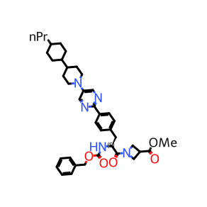 CCCC1CCC(C2CCN(c3cnc(-c4ccc(C[C@H](NC(=O)OCc5ccccc5)C(=O)N5CC(C(=O)OC)C5)cc4)nc3)CC2)CC1